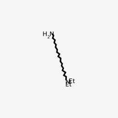 CCN(CC)CCCCCCCCCCCCCCCCCCCCN